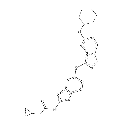 O=C(CC1CC1)Nc1nc2ccc(Sc3nnc4ccc(OC5CCCCC5)nn34)cc2s1